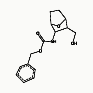 O=C(NC1C2CCC(O2)C1CO)OCc1ccccc1